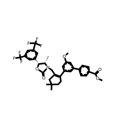 COC(=O)c1ccc(-c2cc(OC)cc(C3=C(CN4C(=O)O[C@H](c5cc(C(F)(F)F)cc(C(F)(F)F)c5)[C@@H]4C)CC(C)(C)CC3)c2)cc1